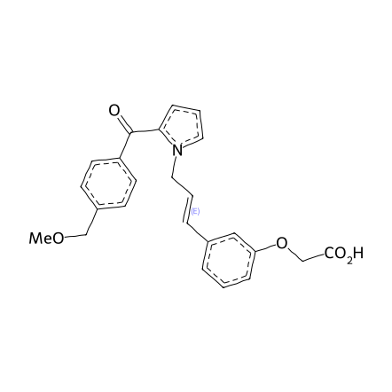 COCc1ccc(C(=O)c2cccn2C/C=C/c2cccc(OCC(=O)O)c2)cc1